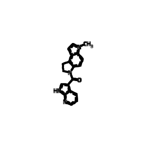 Cn1ccc2c3c(ccc21)N(C(=O)c1c[nH]c2ncccc12)CC3